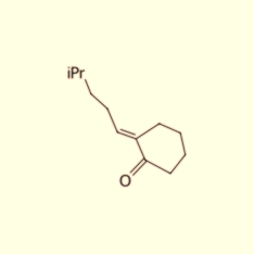 CC(C)CCC=C1CCCCC1=O